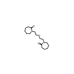 O=C1CCCCCN1CCOCCN1CCCCCC1=O